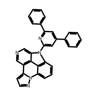 c1ccc(-c2cc(-c3ccccc3)nc(-n3c4cncc5c4c4c3cccc4n3nccc53)c2)cc1